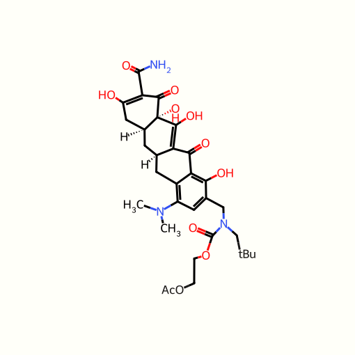 CC(=O)OCCOC(=O)N(Cc1cc(N(C)C)c2c(c1O)C(=O)C1=C(O)[C@]3(O)C(=O)C(C(N)=O)=C(O)C[C@@H]3C[C@@H]1C2)CC(C)(C)C